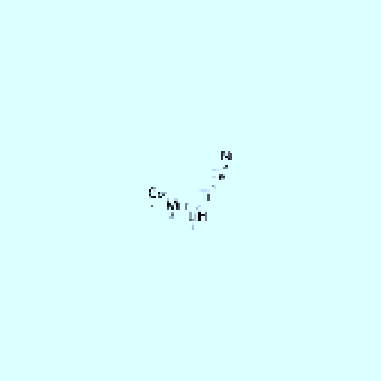 [Co].[Fe].[LiH].[Mn].[Ni].[Ti]